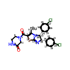 CC(C)(C)C1=C(C(=O)N2CCNC(=O)C2)SC2=N[C@@H](c3ccc(Cl)cc3)[C@@H](c3ccc(Cl)cc3)N21